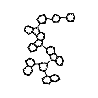 c1ccc(-c2ccc(-c3cccc(-n4c5ccccc5c5c6c7ccccc7n(-c7ccc8c9ccccc9n(-c9nc(-c%10cccc%11ccccc%10%11)cc(-c%10cccc%11ccccc%10%11)n9)c8c7)c6ccc54)c3)cc2)cc1